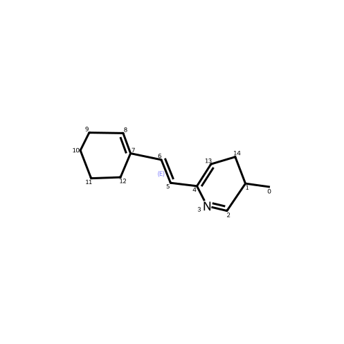 CC1C=NC(/C=C/C2=CCCCC2)=CC1